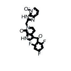 O=C(c1c(F)cc(F)cc1F)c1c[nH]c2c(=O)n(Cc3nc4ccc[n+]([O-])c4[nH]3)ccc12